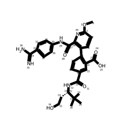 COc1ccc(-c2ccc(C(=O)N[C@@H](CCO)C(C)(C)C)cc2C(=O)O)c(C(=O)Nc2ccc(C(=N)N)cc2)n1